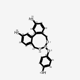 Sc1ccc(OP2OCc3ccc(S)cc3-c3cc(S)ccc3CO2)cc1